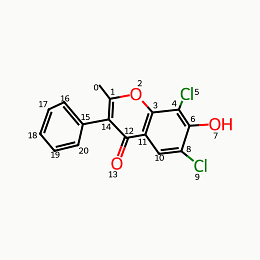 Cc1oc2c(Cl)c(O)c(Cl)cc2c(=O)c1-c1ccccc1